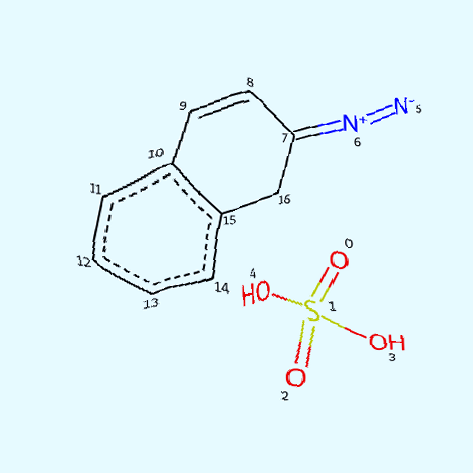 O=S(=O)(O)O.[N-]=[N+]=C1C=Cc2ccccc2C1